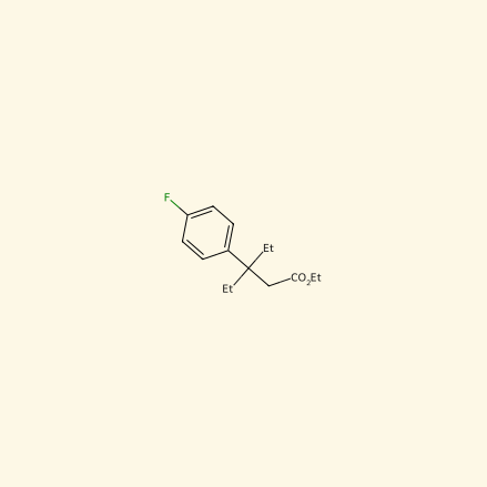 CCOC(=O)CC(CC)(CC)c1ccc(F)cc1